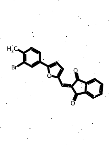 Cc1ccc(-c2ccc(C=C3C(=O)c4ccccc4C3=O)o2)cc1Br